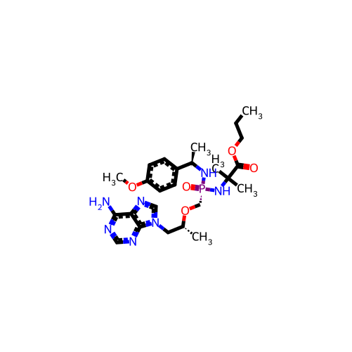 CCCOC(=O)C(C)(C)N[P@](=O)(CO[C@H](C)Cn1cnc2c(N)ncnc21)N[C@H](C)c1ccc(OC)cc1